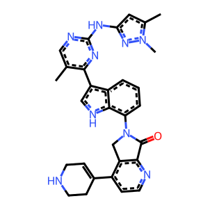 Cc1cnc(Nc2cc(C)n(C)n2)nc1-c1c[nH]c2c(N3Cc4c(C5=CCNCC5)ccnc4C3=O)cccc12